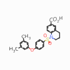 Cc1cc(C)cc(Oc2ccc(S(=O)(=O)N3CCCc4cc(C(=O)O)ccc43)cc2)c1